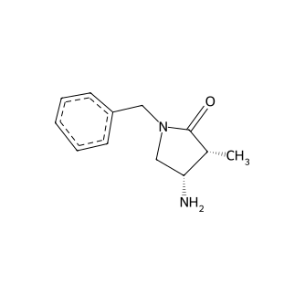 C[C@H]1C(=O)N(Cc2ccccc2)C[C@H]1N